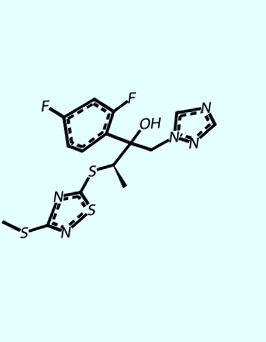 CSc1nsc(S[C@H](C)C(O)(Cn2cncn2)c2ccc(F)cc2F)n1